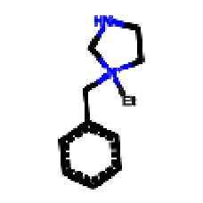 CC[N+]1(Cc2ccccc2)CCNC1